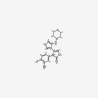 O=c1onc(-c2nonc2SC2CCCCC2)n1-c1ccc(F)c(Br)c1